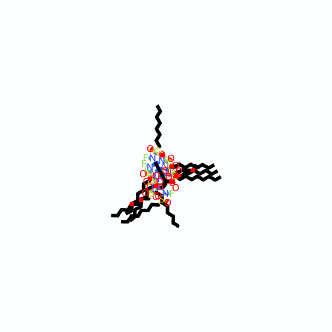 CCCCCCCCS(=O)(=O)N(F)C(=C(C(=O)OCCCC)C(N(F)S(=O)(=O)CCCCCCCC)(N(F)S(=O)(=O)CCCCCCCC)C(N(F)S(=O)(=O)CCCCCCCC)(N(F)S(=O)(=O)CCCCCCCC)C(N(F)S(=O)(=O)CCCCCCCC)(N(F)S(=O)(=O)CCCCCCCC)N(F)S(=O)(=O)CCCCCCCC)N(F)S(=O)(=O)CCCCCCCC